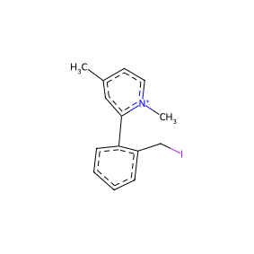 Cc1cc[n+](C)c(-c2ccccc2CI)c1